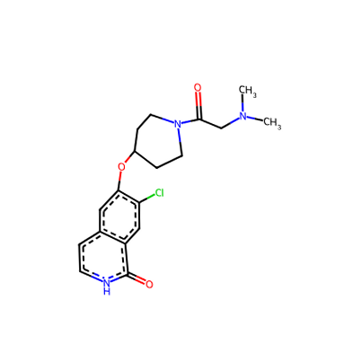 CN(C)CC(=O)N1CCC(Oc2cc3cc[nH]c(=O)c3cc2Cl)CC1